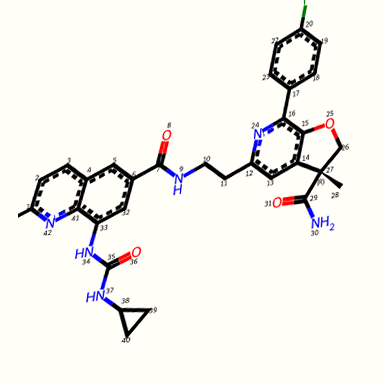 Cc1ccc2cc(C(=O)NCCc3cc4c(c(-c5ccc(F)cc5)n3)OC[C@]4(C)C(N)=O)cc(NC(=O)NC3CC3)c2n1